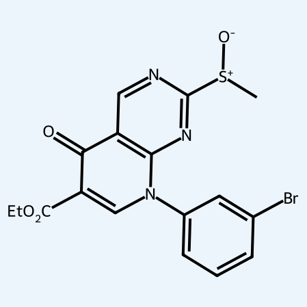 CCOC(=O)c1cn(-c2cccc(Br)c2)c2nc([S+](C)[O-])ncc2c1=O